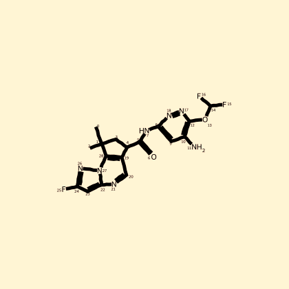 CC1(C)CC(C(=O)Nc2cc(N)c(OC(F)F)nn2)c2cnc3cc(F)nn3c21